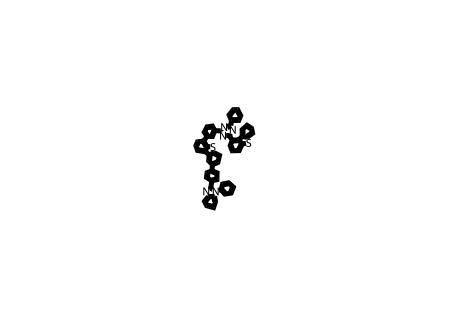 c1ccc(-c2nc(-c3cccc(-c4cccc5c4sc4ccc(-c6ccc(-c7nc8ccccc8n7-c7ccccc7)cc6)cc45)c3)nc(-c3cccc4sc5ccccc5c34)n2)cc1